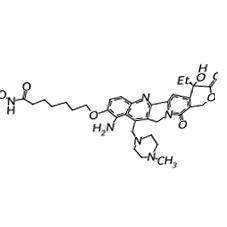 CC[C@@]1(O)C(=O)OCc2c1cc1n(c2=O)Cc2c-1nc1ccc(OCCCCCCC(=O)NO)c(N)c1c2CN1CCN(C)CC1